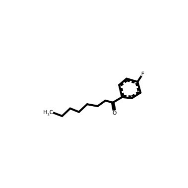 CCCCCCCC(=O)c1ccc(F)cc1